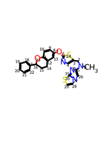 CN(Cc1cnc(Oc2ccc3c(c2)CCC(c2ccccc2)O3)s1)c1cn2ccsc2n1